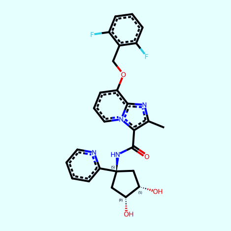 Cc1nc2c(OCc3c(F)cccc3F)cccn2c1C(=O)N[C@]1(c2ccccn2)C[C@@H](O)[C@@H](O)C1